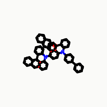 c1ccc(-c2ccc(N(c3ccccc3-c3ccccc3)c3ccc(N(c4ccccc4)c4ccccc4-c4cccc5ccccc45)c4c3oc3cc5ccccc5cc34)cc2)cc1